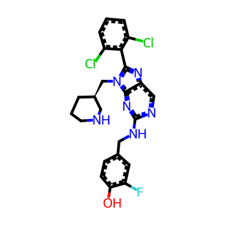 Oc1ccc(CNc2ncc3nc(-c4c(Cl)cccc4Cl)n(C[C@@H]4CCCNC4)c3n2)cc1F